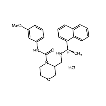 COc1cccc(NC(=O)N2CCOCC2CN[C@H](C)c2cccc3ccccc23)c1.Cl